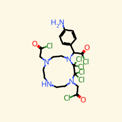 Nc1ccc(C(C(=O)Cl)N2CCN(CC(=O)Cl)CCNCCN(CC(=O)Cl)C(Cl)(Cl)C2(Cl)Cl)cc1